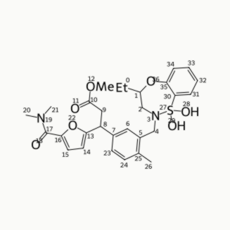 CCC1CN(Cc2cc(C(CC(=O)OC)c3ccc(C(=O)N(C)C)o3)ccc2C)S(O)(O)c2ccccc2O1